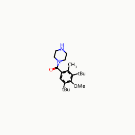 COc1c(C(C)(C)C)cc(C(=O)N2CCNCC2)c(C)c1C(C)(C)C